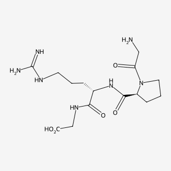 N=C(N)NCCC[C@H](NC(=O)[C@@H]1CCCN1C(=O)CN)C(=O)NCC(=O)O